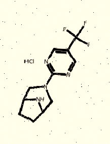 Cl.FC(F)(F)c1cnc(N2CC3CCC(C2)N3)nc1